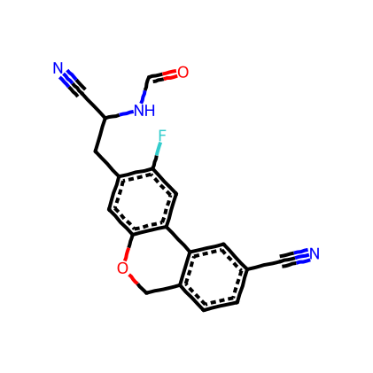 N#Cc1ccc2c(c1)-c1cc(F)c(CC(C#N)NC=O)cc1OC2